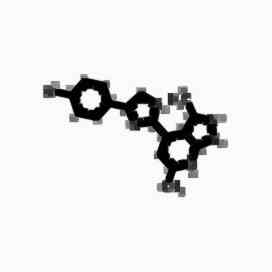 Cc1cc(-c2nc(-c3ccc(Br)cc3)cs2)c2c(C)nnc-2o1